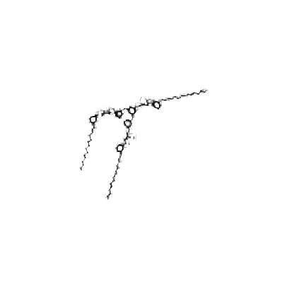 CCCC/C=C/CCCCCCCCCc1cccc(OCC(O)COc2cccc(Cc3cc(CC4=CC=CC(OCC(O)COc5cccc(CCCCCCCCC/C=C/CCCC)c5)C4)cc(OCC(O)COc4cccc(CCCCCCCCC/C=C/CCCC)c4)c3)c2)c1